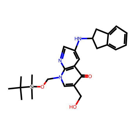 CC(C)(C)[Si](C)(C)OCn1cc(CO)c(=O)c2cc(NC3Cc4ccccc4C3)cnc21